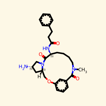 CN1CCCC[C@H](NC(=O)CCc2ccccc2)C(=O)N2C[C@@H](N)C[C@H]2COc2cccc(c2)C1=O